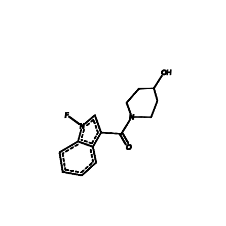 O=C(c1cn(F)c2ccccc12)N1CCC(O)CC1